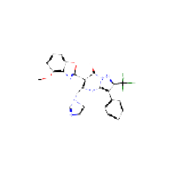 COc1cccc2oc(-c3c(Cn4ccnc4)[nH]c4c(-c5ccccc5)c(C(F)(F)F)nn4c3=O)nc12